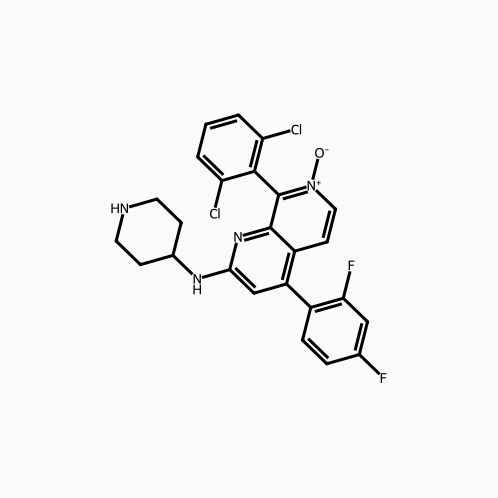 [O-][n+]1ccc2c(-c3ccc(F)cc3F)cc(NC3CCNCC3)nc2c1-c1c(Cl)cccc1Cl